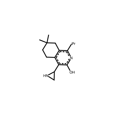 CC(C)c1nc(O)c(C2CN2)c2c1CC(C)(C)CC2